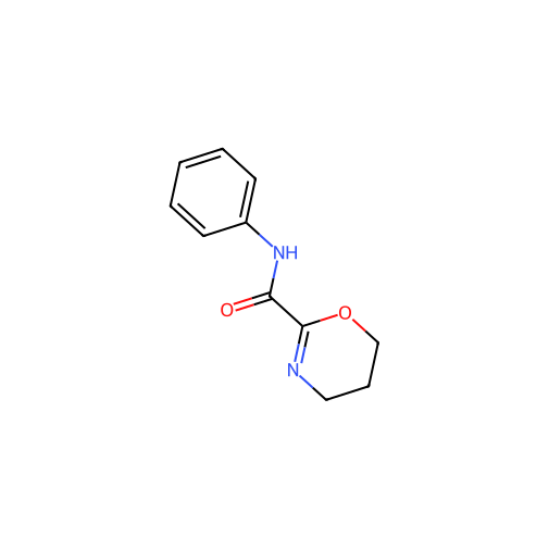 O=C(Nc1ccccc1)C1=NCCCO1